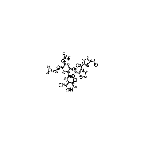 O=Cc1ccc(C(=O)N2CCSC2C(=O)O[C@@H](Cc2c(Cl)cncc2Cl)c2ccc(OC(F)F)c(OCC3CC3)c2)s1